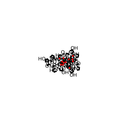 CSCC[C@H](NC(=O)[C@@H]1C[C@@H](O)CN1C(=O)CNC(=O)[C@@H]1CCCN1C(=O)[C@@H]1C[C@@H](O)CN1C(=O)CNC(=O)[C@@H]1CCCN1C(=O)[C@@H]1C[C@@H](O)CN1C(=O)CNC(=O)[C@@H]1CCCN1C(=O)[C@@H]1C[C@@H](O)CN1C(=O)CNC(=O)[C@@H]1CCCN1C(=O)[C@@H]1C[C@@H](O)CN1)C(=O)NCC(=O)N1C[C@H](O)C[C@H]1C(=O)N1CCC[C@H]1C(=O)NCC(=O)N1C[C@H](O)C[C@H]1C(=O)N1CCC[C@H]1C(=O)NCC(=O)O